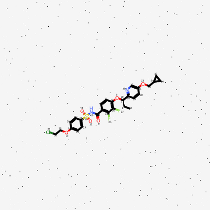 CC[C@@H](Oc1ccc(C(=O)NS(=O)(=O)c2ccc(OCCCl)cc2)c(F)c1F)c1ccc(OCC2CC2)cn1